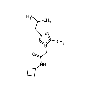 Cc1nc(CC(C)C)cn1CC(=O)NC1CCC1